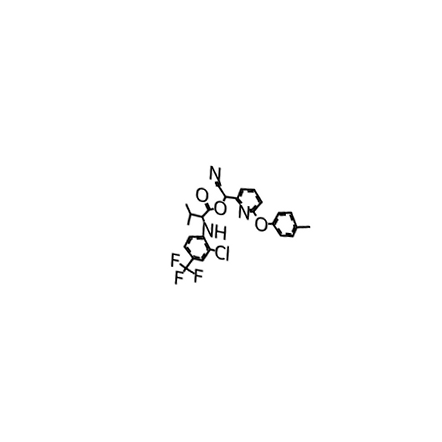 Cc1ccc(Oc2cccc(C(C#N)OC(=O)C(Nc3ccc(C(F)(F)F)cc3Cl)C(C)C)n2)cc1